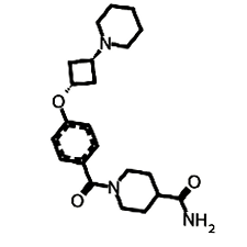 NC(=O)C1CCN(C(=O)c2ccc(O[C@H]3C[C@H](N4CCCCC4)C3)cc2)CC1